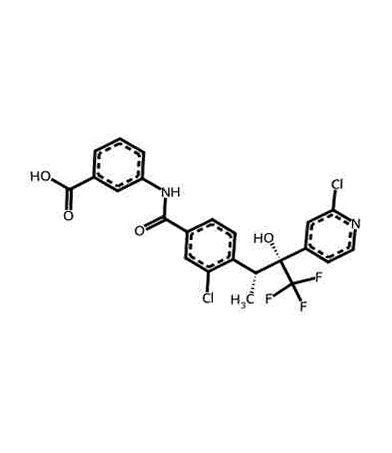 C[C@H](c1ccc(C(=O)Nc2cccc(C(=O)O)c2)cc1Cl)[C@@](O)(c1ccnc(Cl)c1)C(F)(F)F